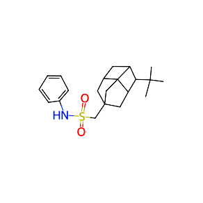 CC(C)(C)C1C2CC3CC1CC(CS(=O)(=O)Nc1ccccc1)(C3)C2